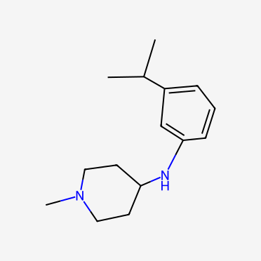 CC(C)c1cccc(NC2CCN(C)CC2)c1